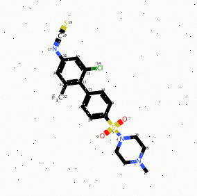 CN1CCN(S(=O)(=O)c2ccc(-c3c(Cl)cc(N=C=S)cc3C(F)(F)F)cc2)CC1